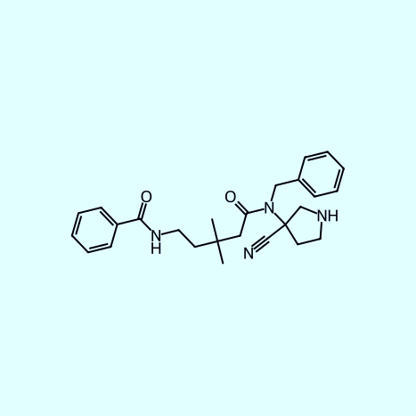 CC(C)(CCNC(=O)c1ccccc1)CC(=O)N(Cc1ccccc1)C1(C#N)CCNC1